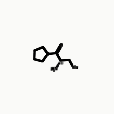 CC(C)(C)C[C@H](N)C(=O)N1CCCC1